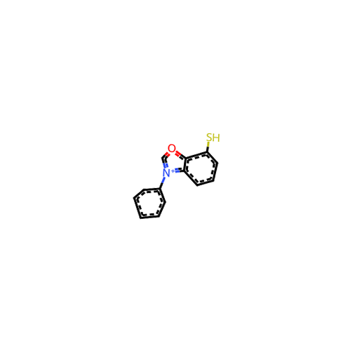 Sc1cccc2c1oc[n+]2-c1ccccc1